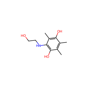 Cc1c(C)c(O)c(NCCO)c(C)c1O